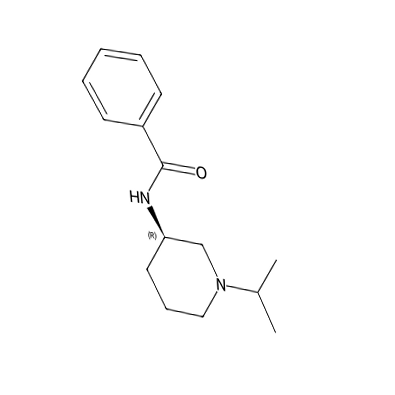 CC(C)N1CCC[C@@H](NC(=O)c2ccccc2)C1